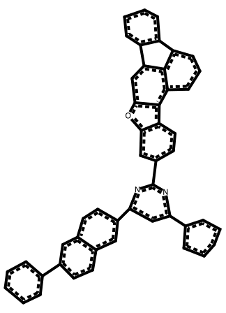 c1ccc(-c2ccc3cc(-c4cc(-c5ccccc5)nc(-c5ccc6c(c5)oc5cc7c8c(cccc8c56)-c5ccccc5-7)n4)ccc3c2)cc1